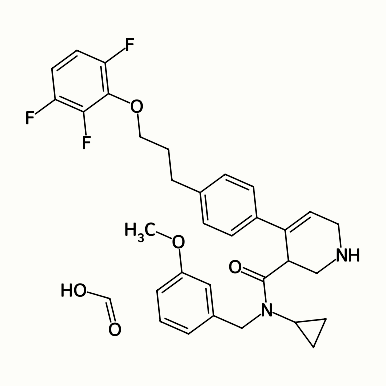 COc1cccc(CN(C(=O)C2CNCC=C2c2ccc(CCCOc3c(F)ccc(F)c3F)cc2)C2CC2)c1.O=CO